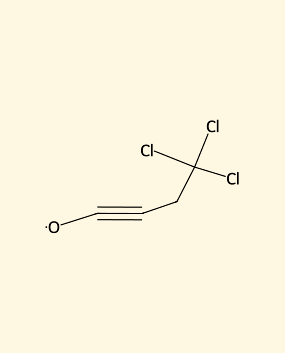 [O]C#CCC(Cl)(Cl)Cl